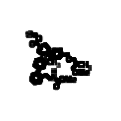 COC[C@H](C)COCc1ccc([C@@]2(O)CCN(C(=O)OC(C)(C)C)C[C@@H]2c2ccc(-c3ccccc3CCNC(=O)OC)cc2C)cc1